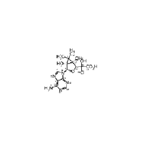 CC1(C)[C@]2(O)[C@H](n3cnc4c(N)ncnc43)O[C@H](C(O)(Cl)C(=O)O)[C@]12O